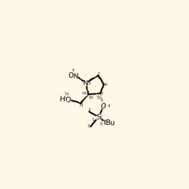 CC(C)(C)[Si](C)(C)O[C@H]1CCN(N=O)[C@@H]1CO